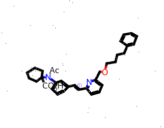 CC(=O)N(c1cccc(/C=C/c2cccc(COCCCCc3ccccc3)n2)c1)C1(C(=O)O)CCCCC1